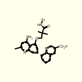 CCNC(=O)C(C)(C)COc1cccc2nc(C)cc(N)c12.O=C(O)c1cnc2ccccc2c1